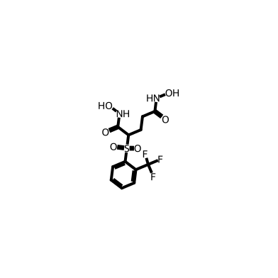 O=C(CCC(C(=O)NO)S(=O)(=O)c1ccccc1C(F)(F)F)NO